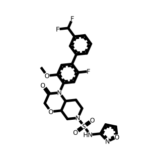 COc1cc(-c2cccc(C(F)F)c2)c(F)cc1N1C(=O)COC2CN(S(=O)(=O)Nc3ccon3)CCC21